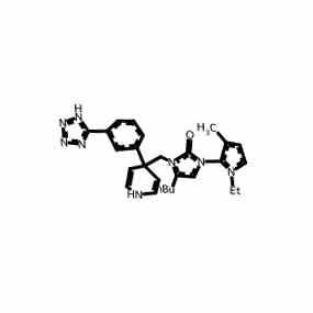 CCCCc1cn(-c2c(C)ccn2CC)c(=O)n1CC1(c2cccc(-c3nnn[nH]3)c2)C=CNC=C1